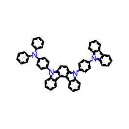 c1ccc(N(c2ccccc2)c2ccc(-n3c4ccccc4c4c5c6ccccc6n(-c6ccc(-n7c8ccccc8c8ccccc87)cc6)c5ccc43)cc2)cc1